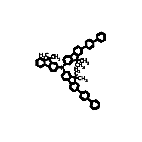 CC1(C)c2ccccc2-c2ccc(N(c3ccc4c(c3)C(C)(C)c3cc(-c5ccc(-c6ccccc6)cc5)ccc3-4)c3ccc4c(c3)C(C)(C)c3cc(-c5ccc(-c6ccccc6)cc5)ccc3-4)cc21